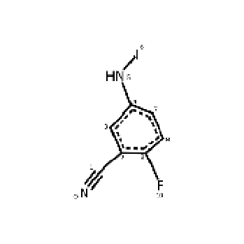 N#Cc1cc(NI)ccc1F